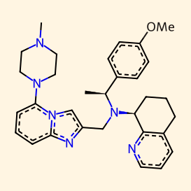 COc1ccc([C@H](C)N(Cc2cn3c(N4CCN(C)CC4)cccc3n2)[C@H]2CCCc3cccnc32)cc1